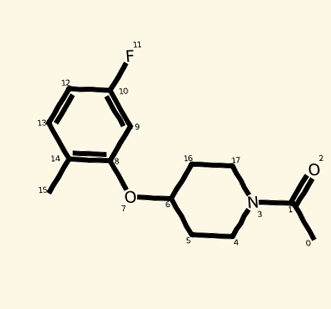 CC(=O)N1CCC(Oc2cc(F)ccc2C)CC1